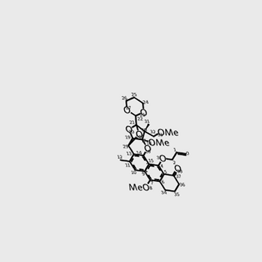 C=CCOc1c2c(c(OC)c3cc(C)c4c(c13)O[C@]1(OC)C3OC(C5OCCCO5)(OC43)[C@]1(C)COC)CCCC2=O